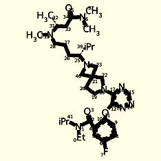 CCN(C(=O)c1cc(F)ccc1Oc1nncnc1N1CCC2(C1)CN([C@H](CCCN(C)[C@H](C)CC(=O)N(C)C)C(C)C)C2)C(C)C